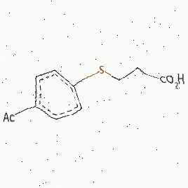 CC(=O)c1ccc(SCCC(=O)O)cc1